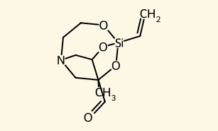 C=C[Si]12OCCN(CC(C)O1)CC(C=O)O2